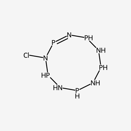 Cln1pn[pH][nH][pH][nH][pH][nH][pH]1